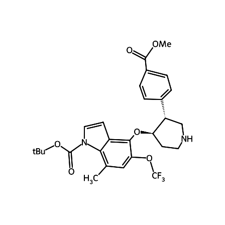 COC(=O)c1ccc([C@@H]2CNCC[C@H]2Oc2c(OC(F)(F)F)cc(C)c3c2ccn3C(=O)OC(C)(C)C)cc1